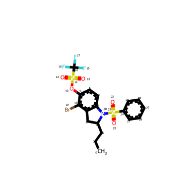 CCCC1Cc2c(ccc(OS(=O)(=O)C(F)(F)F)c2Br)N1S(=O)(=O)c1ccccc1